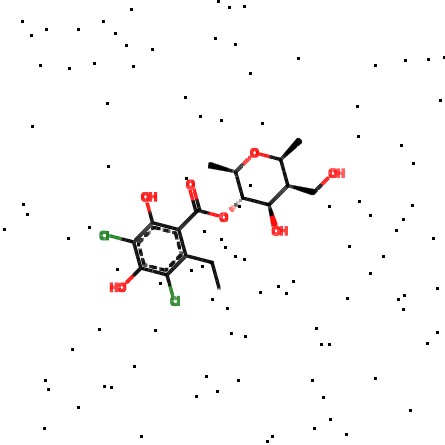 CCc1c(Cl)c(O)c(Cl)c(O)c1C(=O)O[C@H]1[C@H](O)[C@H](CO)[C@H](C)O[C@@H]1C